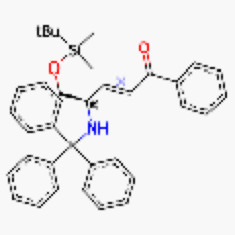 CC(C)(C)[Si](C)(C)OC[C@@H](/C=C/C(=O)c1ccccc1)NC(c1ccccc1)(c1ccccc1)c1ccccc1